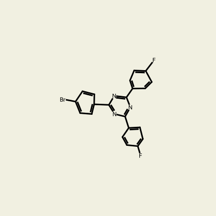 Fc1ccc(-c2nc(-c3ccc(F)cc3)nc(-c3ccc(Br)cc3)n2)cc1